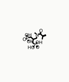 C=C(C)C(=O)N(C)CC(CP(=O)(O)O)CP(=O)(O)O